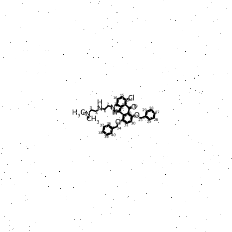 CN(C)CCNCCn1nc2c3c(c(Cl)ccc31)C(=O)c1c(OCc3ccccc3)ccc(OCc3ccccc3)c1-2